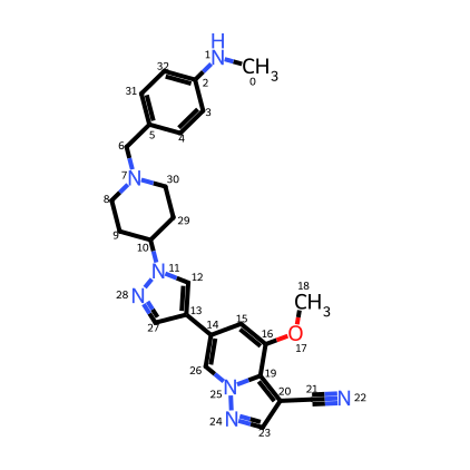 CNc1ccc(CN2CCC(n3cc(-c4cc(OC)c5c(C#N)cnn5c4)cn3)CC2)cc1